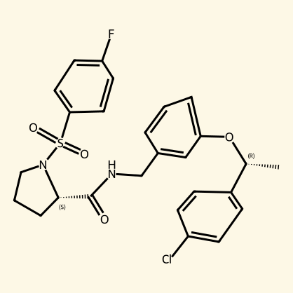 C[C@@H](Oc1cccc(CNC(=O)[C@@H]2CCCN2S(=O)(=O)c2ccc(F)cc2)c1)c1ccc(Cl)cc1